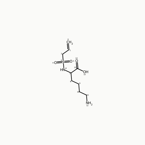 C=CCS(=O)(=O)NC(CCCCN)C(=O)O